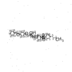 CCCCc1ccc(S(=O)(=O)N2CCC(CNC[C@H](O)COc3ccc(OCc4ccccc4)cc3)CC2)cc1